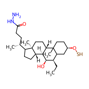 CC[C@@H]1C2C[C@H](OS)CCC2(C)[C@H]2CC[C@]3(C)C([C@H](C)CCC(=O)NN)CC[C@H]3[C@@H]2[C@@H]1O